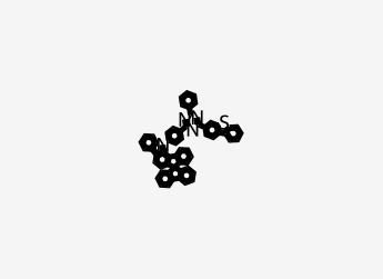 c1ccc(-c2nc(-c3ccc(-n4c5ccccc5c5ccc6c(c54)-c4ccccc4C64c5ccccc5-c5ccccc54)cc3)nc(-c3ccc4c(c3)sc3ccccc34)n2)cc1